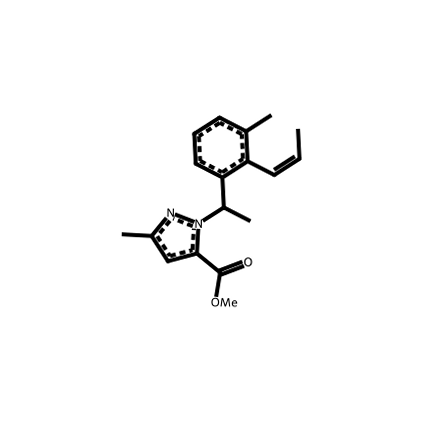 C/C=C\c1c(C)cccc1C(C)n1nc(C)cc1C(=O)OC